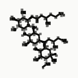 CN[C@@H]1[C@@H](O)[C@@H](O[C@H]2[C@H](NCC(O)CN)C[C@H](N)C(O[C@H]3O[C@H](CNCC(O)CCN)[C@@H](O)[C@H](O)[C@H]3O)[C@@H]2O)OC[C@]1(C)O